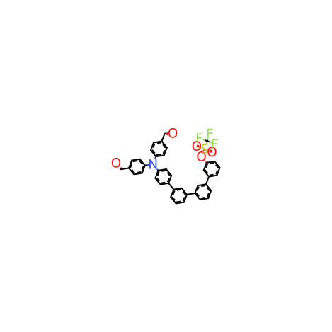 O=Cc1ccc(N(c2ccc(C=O)cc2)c2ccc(-c3cccc(-c4cccc(-c5cccc(OS(=O)(=O)C(F)(F)F)c5)c4)c3)cc2)cc1